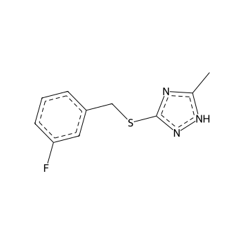 Cc1nc(SCc2cccc(F)c2)n[nH]1